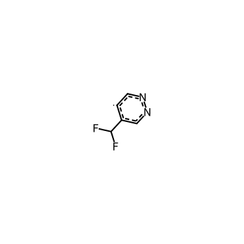 FC(F)c1[c]cnnc1